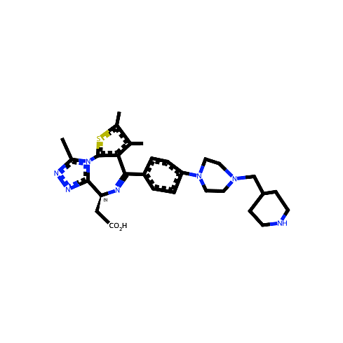 Cc1sc2c(c1C)C(c1ccc(N3CCN(CC4CCNCC4)CC3)cc1)=N[C@@H](CC(=O)O)c1nnc(C)n1-2